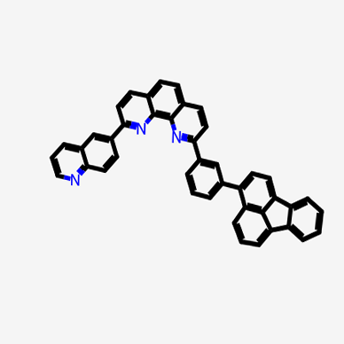 c1cc(-c2ccc3ccc4ccc(-c5ccc6ncccc6c5)nc4c3n2)cc(-c2ccc3c4c(cccc24)-c2ccccc2-3)c1